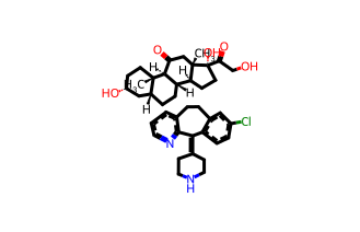 C[C@]12CC[C@@H](O)C[C@H]1CC[C@@H]1[C@@H]2C(=O)C[C@@]2(C)[C@H]1CC[C@]2(O)C(=O)CO.Clc1ccc2c(c1)CCc1cccnc1C2=C1CCNCC1